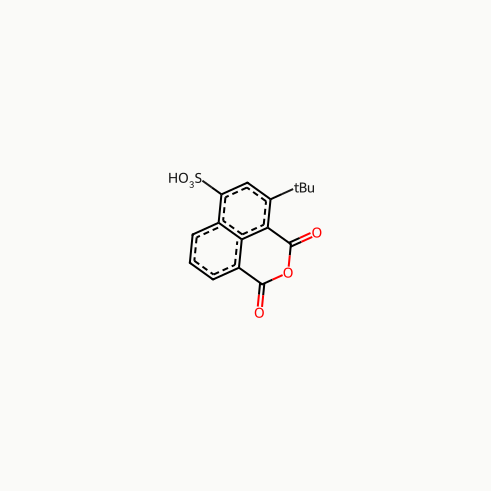 CC(C)(C)c1cc(S(=O)(=O)O)c2cccc3c2c1C(=O)OC3=O